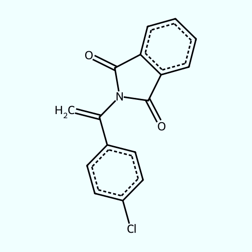 C=C(c1ccc(Cl)cc1)N1C(=O)c2ccccc2C1=O